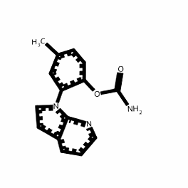 Cc1ccc(OC(N)=O)c(-n2ccc3cccnc32)c1